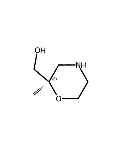 C[C@]1(CO)CNCCO1